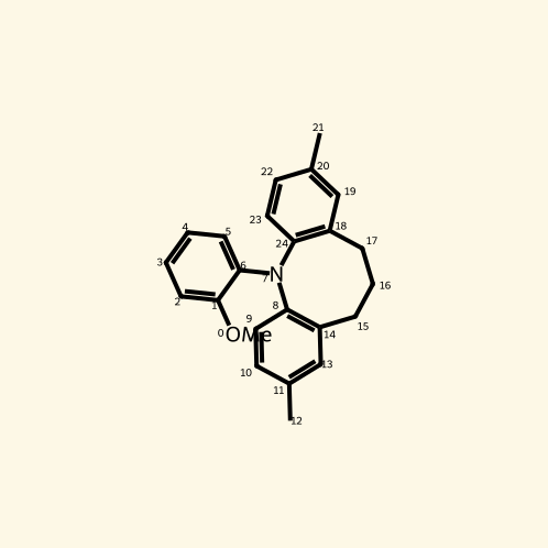 COc1ccccc1N1c2ccc(C)cc2CCCc2cc(C)ccc21